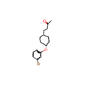 CC(=O)CC[C@H]1CC[C@H](Oc2cccc(Br)c2)CC1